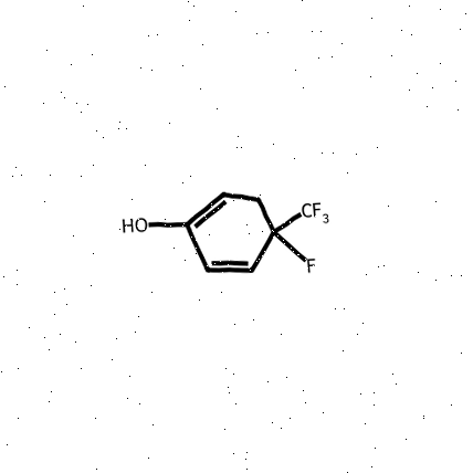 OC1=CCC(F)(C(F)(F)F)C=C1